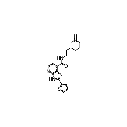 O=C(NCCC1CCCNC1)c1ccnc2[nH]c(-c3cccs3)nc12